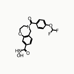 O=C(NO)c1ccc2c(c1)OCCN(C(=O)c1ccc(OC(F)F)cc1)C2